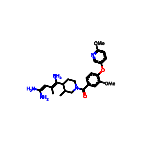 COc1ccc(Oc2ccc(C(=O)N3CCC(/C(N)=C(\C)C=C(N)N)C(C)C3)cc2OC)cn1